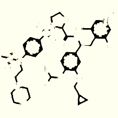 CS(=O)(=O)N(CCN1CCOCC1)c1ccc(S(=O)(=O)N2CCSC2C(=O)O[C@@H](Cc2c(Cl)c[n+]([O-])cc2Cl)c2ccc(OC(F)F)c(OCC3CC3)c2)cc1